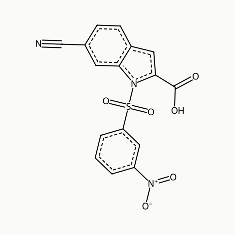 N#Cc1ccc2cc(C(=O)O)n(S(=O)(=O)c3cccc([N+](=O)[O-])c3)c2c1